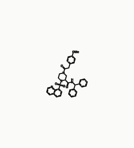 COc1ccc(CC(=O)N2CCN(S(=O)(=O)c3cccc4cccnc34)C(C(=O)NC(c3ccccc3)c3ccccc3)C2)cc1